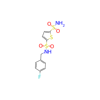 NS(=O)(=O)c1ccc(S(=O)(=O)NCc2ccc(F)cc2)s1